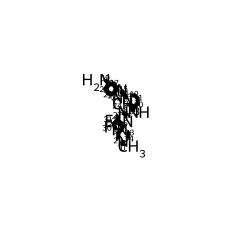 CN1CCN(c2nc(NC3CCCN(c4nc5cc(N)ccc5n4C)C3)ncc2C(F)(F)F)CC1